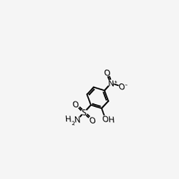 NS(=O)(=O)c1ccc([N+](=O)[O-])cc1O